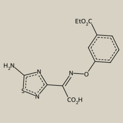 CCOC(=O)c1cccc(O/N=C(\C(=O)O)c2nsc(N)n2)c1